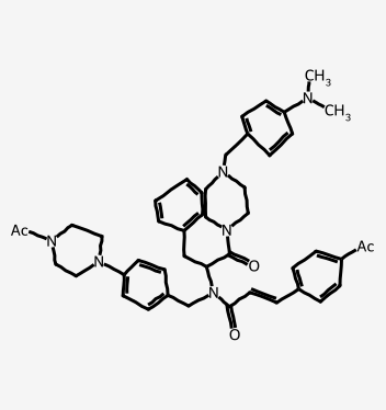 CC(=O)c1ccc(C=CC(=O)N(Cc2ccc(N3CCN(C(C)=O)CC3)cc2)C(Cc2ccccc2)C(=O)N2CCN(Cc3ccc(N(C)C)cc3)CC2)cc1